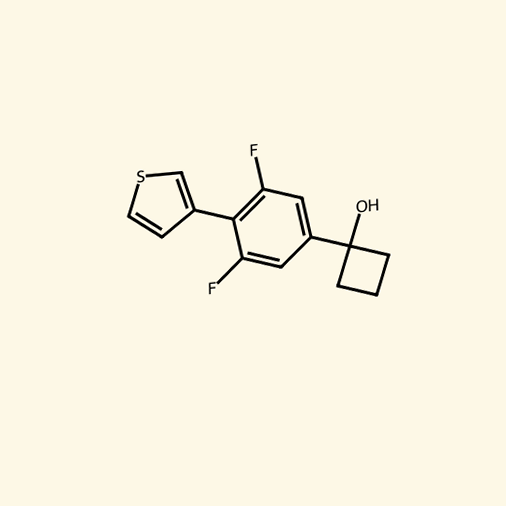 OC1(c2cc(F)c(-c3ccsc3)c(F)c2)CCC1